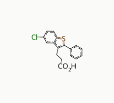 O=C(O)CCc1c(-c2ccccc2)sc2ccc(Cl)cc12